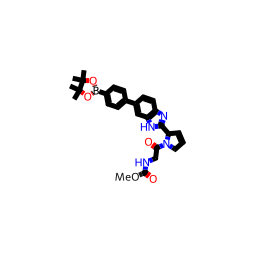 COC(=O)NCC(=O)N1CC=CC1c1nc2ccc(-c3ccc(B4OC(C)(C)C(C)(C)O4)cc3)cc2[nH]1